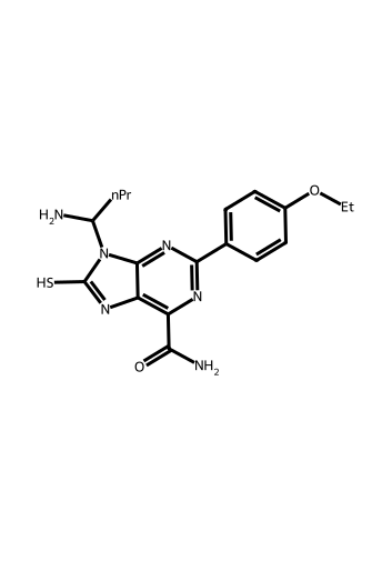 CCCC(N)n1c(S)nc2c(C(N)=O)nc(-c3ccc(OCC)cc3)nc21